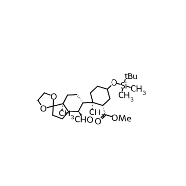 COC(=O)[C@H]1CC(O[Si](C)(C)C(C)(C)C)CC[C@]1(C)[C@H]1CC[C@@]2(C)C(CCC23OCCO3)[C@@H]1C=O